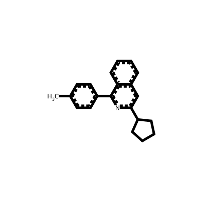 Cc1ccc(-c2nc(C3CCCC3)cc3ccccc23)cc1